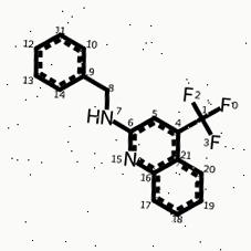 FC(F)(F)c1cc(NCc2ccccc2)nc2c[c]ccc12